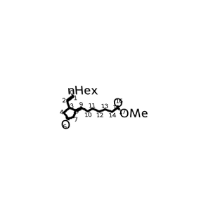 CCCCCCC=CC1CC(=O)CC1=CCCCCCC(=O)OC